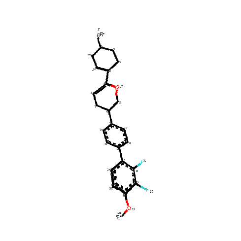 CCCC1CCC(C2=CCC(c3ccc(-c4ccc(OCC)c(F)c4F)cc3)CO2)CC1